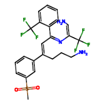 CS(=O)(=O)c1cccc(C(=CC(=N/C(=C\N)C(F)(F)F)c2ccccc2C(F)(F)F)CCCN)c1